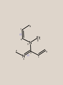 C=C/C(=N/C)N(/C=C\C)CC